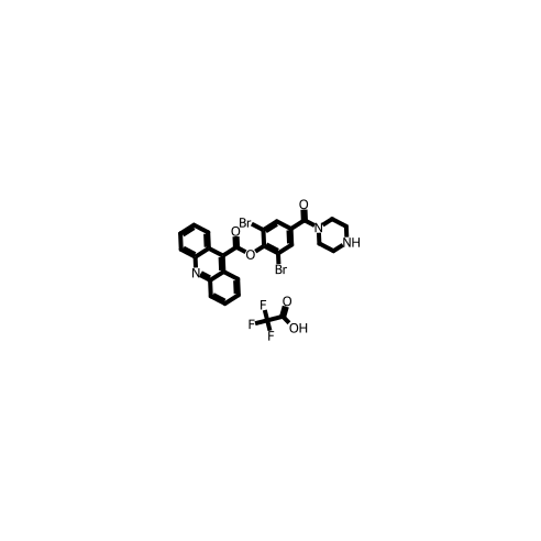 O=C(O)C(F)(F)F.O=C(Oc1c(Br)cc(C(=O)N2CCNCC2)cc1Br)c1c2ccccc2nc2ccccc12